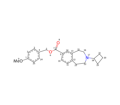 COc1ccc(COC(=O)c2ccc3c(c2)CCN(C2CCC2)CC3)cc1